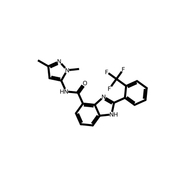 Cc1cc(NC(=O)c2cccc3[nH]c(-c4ccccc4C(F)(F)F)nc23)n(C)n1